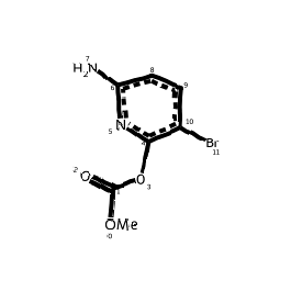 COC(=O)Oc1nc(N)ccc1Br